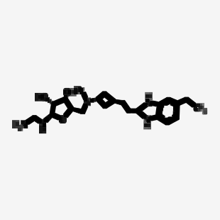 CC(C)N(C[C@H]1O[C@@H](NCN)[C@H](O)[C@@H]1O)[C@H]1C[C@H](CCC2Nc3ccc(CC(F)(F)F)cc3N2)C1